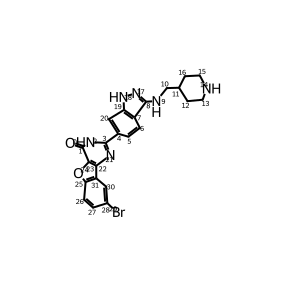 O=c1[nH]c(-c2ccc3c(NCC4CCNCC4)n[nH]c3c2)nc2c1oc1ccc(Br)cc12